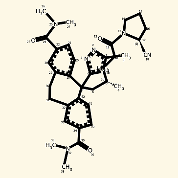 Cc1nnc(C2(C[C@@H](C)NCC(=O)N3CCC[C@H]3C#N)c3ccc(C(=O)N(C)C)cc3CCc3cc(C(=O)N(C)C)ccc32)[nH]1